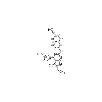 C#Cc1cnc2cc(Sc3nc(N4CC[C@H](N)C4)c4c(Cl)c(CC)[nH]c4n3)ccc2c1